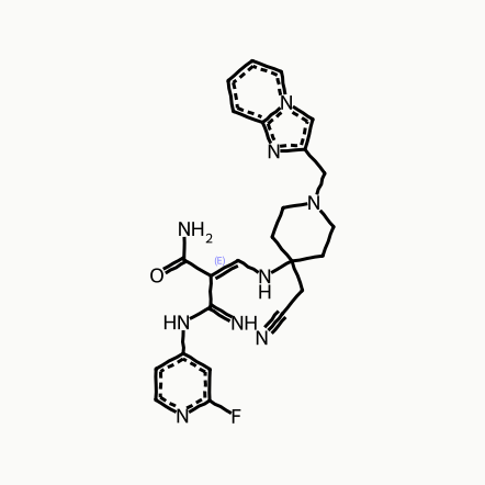 N#CCC1(N/C=C(\C(=N)Nc2ccnc(F)c2)C(N)=O)CCN(Cc2cn3ccccc3n2)CC1